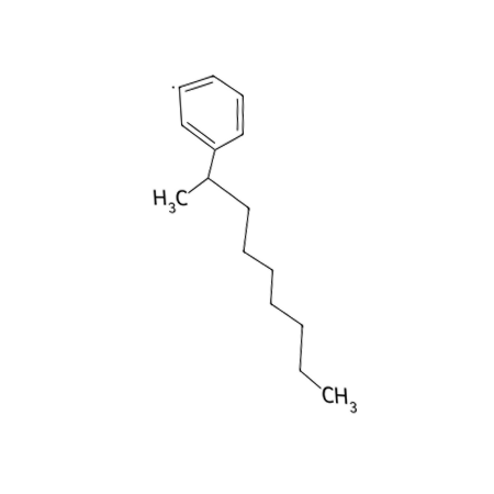 CCCCCCCC(C)c1c[c]ccc1